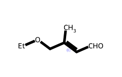 CCOC/C(C)=C/C=O